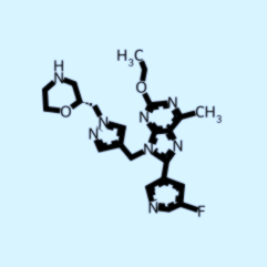 CCOc1nc(C)c2nc(-c3cncc(F)c3)n(Cc3cnn(C[C@H]4CNCCO4)c3)c2n1